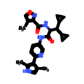 Cc1conc1C(=O)N[C@H](C(=O)Nc1ccc(-c2c(C)c[nH]c2C)nc1)C(C1CC1)C1CC1